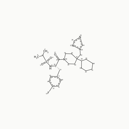 CC(C)S(=O)(=O)N[C@@H](Cc1ccc(F)cc1)C(=O)N1CCC(Cn2cncn2)(C2CCCCC2)CC1